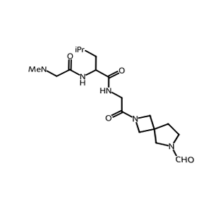 CNCC(=O)NC(CC(C)C)C(=O)NCC(=O)N1CC2(CCN(C=O)C2)C1